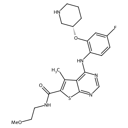 COCCNC(=O)c1sc2ncnc(Nc3ccc(F)cc3O[C@H]3CCCNC3)c2c1C